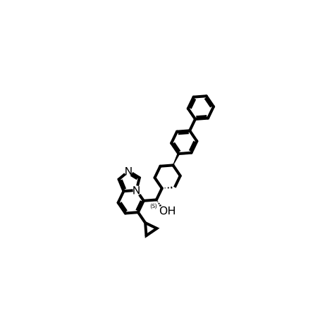 O[C@H](c1c(C2CC2)ccc2cncn12)[C@H]1CC[C@H](c2ccc(-c3ccccc3)cc2)CC1